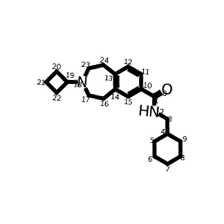 O=C(NCC1CCCCC1)c1ccc2c(c1)CCN(C1CCC1)CC2